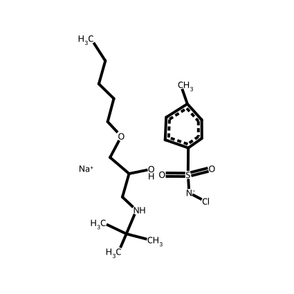 CCCCCOCC(O)CNC(C)(C)C.Cc1ccc(S(=O)(=O)[N-]Cl)cc1.[Na+]